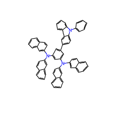 c1ccc(-n2c3ccccc3c3cc(-c4cc(N(c5ccc6ccccc6c5)c5ccc6ccccc6c5)cc(N(c5ccc6ccccc6c5)c5ccc6ccccc6c5)c4)ccc32)cc1